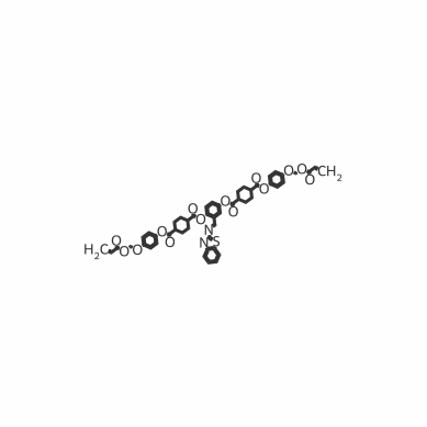 C=CC(=O)OCOc1ccc(OC(=O)C2CCC(C(=O)Oc3ccc(OC(=O)C4CCC(C(=O)Oc5ccc(OCOC(=O)C=C)cc5)CC4)c(/C=N/c4nc5ccccc5s4)c3)CC2)cc1